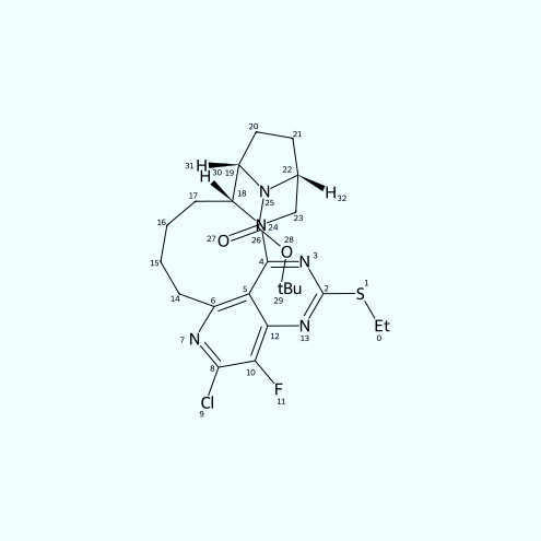 CCSc1nc2c3c(nc(Cl)c(F)c3n1)CCCC[C@@H]1[C@@H]3CC[C@H](CN21)N3C(=O)OC(C)(C)C